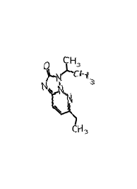 CCc1ccc2nc(=O)n(C(C)C)n2n1